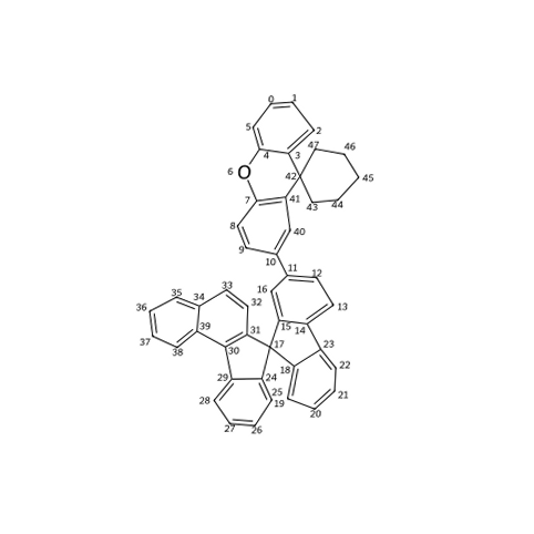 c1ccc2c(c1)Oc1ccc(-c3ccc4c(c3)C3(c5ccccc5-4)c4ccccc4-c4c3ccc3ccccc43)cc1C21CCCCC1